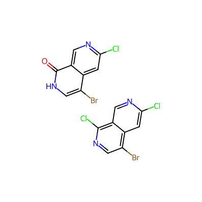 Clc1cc2c(Br)cnc(Cl)c2cn1.O=c1[nH]cc(Br)c2cc(Cl)ncc12